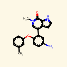 Cc1cccc(Oc2ccc(N)cc2-c2cn(C)c(=O)c3[nH]ccc23)c1